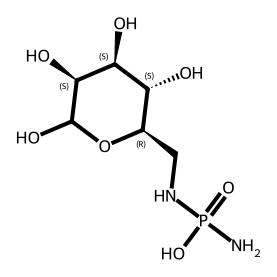 NP(=O)(O)NC[C@H]1OC(O)[C@@H](O)[C@@H](O)[C@@H]1O